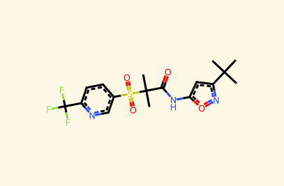 CC(C)(C)c1cc(NC(=O)C(C)(C)S(=O)(=O)c2ccc(C(F)(F)F)nc2)on1